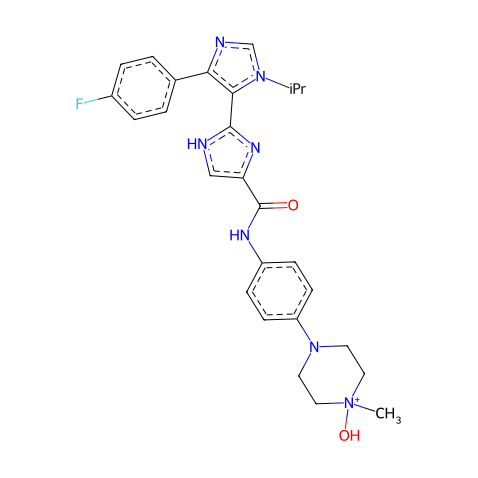 CC(C)n1cnc(-c2ccc(F)cc2)c1-c1nc(C(=O)Nc2ccc(N3CC[N+](C)(O)CC3)cc2)c[nH]1